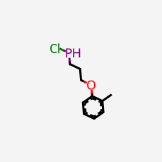 Cc1ccccc1OCCCPCl